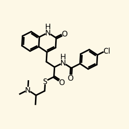 CC(CSC(=O)C(Cc1cc(=O)[nH]c2ccccc12)NC(=O)c1ccc(Cl)cc1)N(C)C